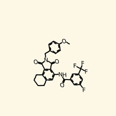 COc1ccc(CN2C(=O)c3c(NC(=O)c4cc(F)cc(C(F)(F)F)c4)cc4c(c3C2=O)CCCC4)cc1